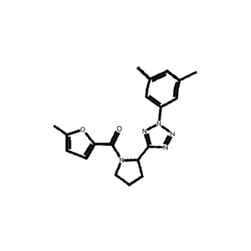 Cc1cc(C)cc(-n2nnc(C3CCCN3C(=O)c3ccc(C)o3)n2)c1